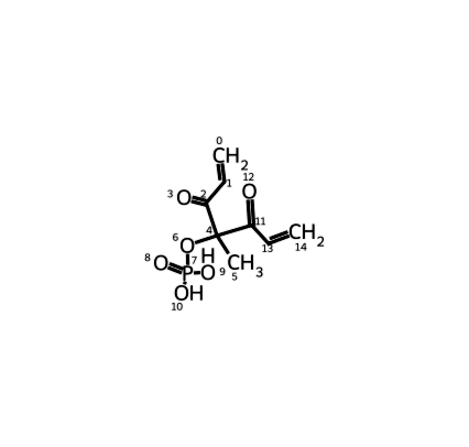 C=CC(=O)C(C)(OP(=O)(O)O)C(=O)C=C